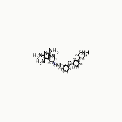 N=C/C(=C\NCc1cccc(Oc2cccc(C3CCNCC3)c2)c1)Cc1cc(N)nc(N)c1N